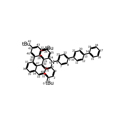 CC(C)(C)c1ccc(N(c2ccc(-c3ccc(-c4ccccc4)cc3)cc2)c2ccccc2-c2cccc3cccc(-c4cc(C(C)(C)C)cc(C(C)(C)C)c4)c23)cc1